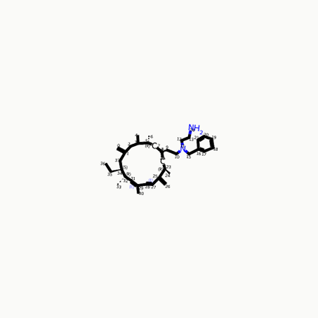 C=C1CC(C)[C@H](C)C[C@@H](CCN(CCN)Cc2ccccc2)C[C@@H](C)C(=C)/C=C/C(C)=C/[C@H](C)[C@@H](CC)C1